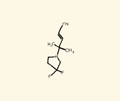 CC(C)(C=CC#N)N1CCC(F)(F)C1